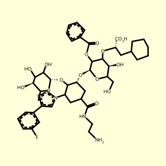 CC1O[C@@H](OC2C(n3cc(-c4cccc(F)c4)nn3)CC(C(=O)NCCN)C[C@H]2O[C@@H]2OC(CO)[C@H](O)C(O[C@@H](CC3CCCCC3)C(=O)O)C2OC(=O)c2ccccc2)C(O)C(O)[C@@H]1O